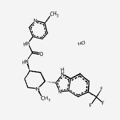 Cc1ccc(NC(=O)N[C@@H]2CCN(C)[C@@H](c3nc4cc(C(F)(F)F)ccc4[nH]3)C2)cn1.Cl